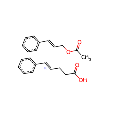 CC(=O)OCC=Cc1ccccc1.O=C(O)CC/C=C/c1ccccc1